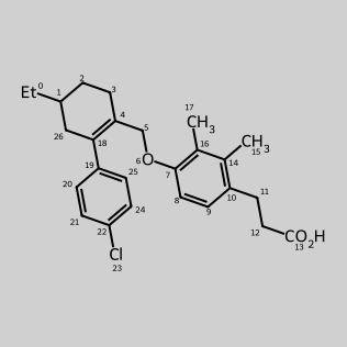 CCC1CCC(COc2ccc(CCC(=O)O)c(C)c2C)=C(c2ccc(Cl)cc2)C1